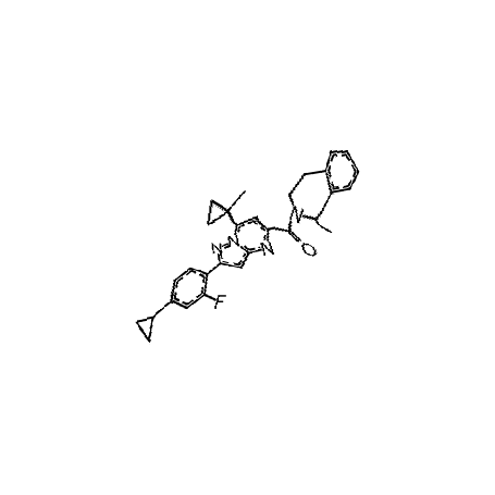 CC1c2ccccc2CCN1C(=O)c1cc(C2(C)CC2)n2nc(-c3ccc(C4CC4)cc3F)cc2n1